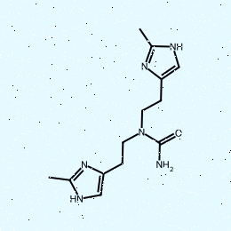 Cc1nc(CCN(CCc2c[nH]c(C)n2)C(N)=O)c[nH]1